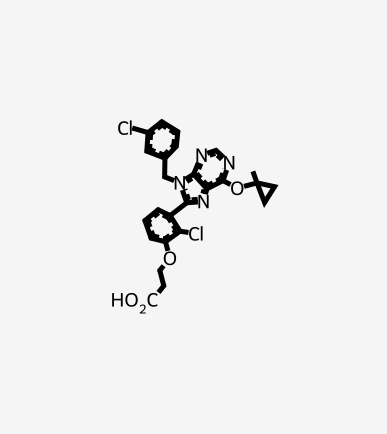 CC1(Oc2ncnc3c2nc(-c2cccc(OCCC(=O)O)c2Cl)n3Cc2cccc(Cl)c2)CC1